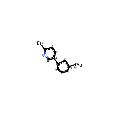 CCc1ccc(-c2cccc(C(C)(C)C)c2)cn1